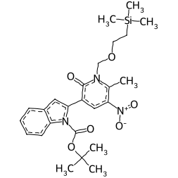 Cc1c([N+](=O)[O-])cc(-c2cc3ccccc3n2C(=O)OC(C)(C)C)c(=O)n1COCC[Si](C)(C)C